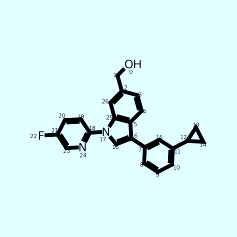 OCc1ccc2c(-c3cccc(C4CC4)c3)cn(-c3ccc(F)cn3)c2c1